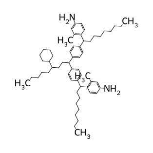 CCCCCCCCC(c1ccc(C(CCC(CCCCC)C2CCCCC2)c2ccc(C(CCCCCCCC)c3ccc(N)cc3C)cc2)cc1)c1ccc(N)cc1C